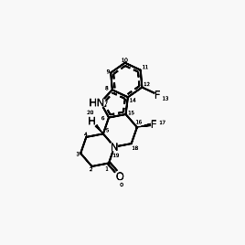 O=C1CCC[C@@H]2c3[nH]c4cccc(F)c4c3[C@@H](F)CN12